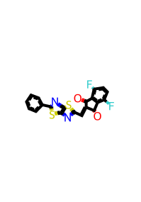 O=C1C(=Cc2nc3sc(-c4ccccc4)nc3s2)C(=O)c2c(F)ccc(F)c21